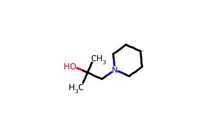 CC(C)(O)CN1CC[CH]CC1